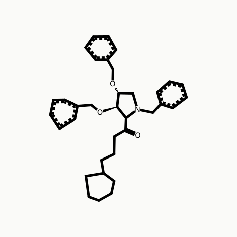 O=C(CCCC1CCCCC1)C1[C@@H](OCc2ccccc2)[C@H](OCc2ccccc2)CN1Cc1ccccc1